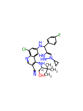 CC(C)(C)[C@@H](CO)Nc1c(C#N)cnc2c(Cl)cc(NC(C3=CN(C4CC4)NN3)c3ccc(F)cc3)cc12